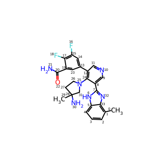 Cc1cccc2[nH]c(-c3cncc(-c4cc(F)c(F)c(C(N)=O)c4)c3N3CCC(C)(N)C3)nc12